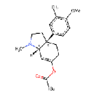 CCCCC(=O)OC1=C[C@@H]2N(C)CC[C@]2(c2ccc(OC)c(C)c2)CC1